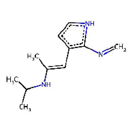 C=Nc1[nH]ccc1/C=C(\C)NC(C)C